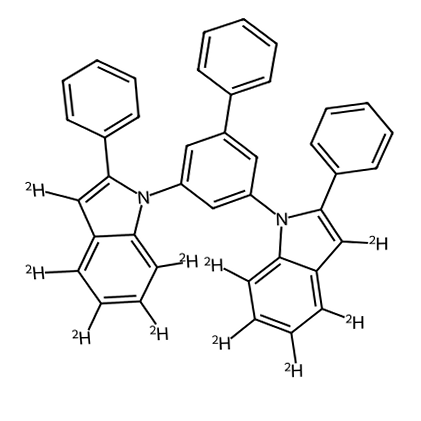 [2H]c1c([2H])c([2H])c2c(c1[2H])c([2H])c(-c1ccccc1)n2-c1cc(-c2ccccc2)cc(-n2c(-c3ccccc3)c([2H])c3c([2H])c([2H])c([2H])c([2H])c32)c1